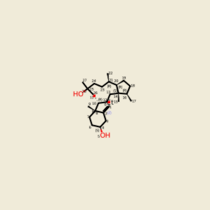 CC/C=C1/C[C@@H](O)CC[C@]1(C)[C@H](C)CC[C@@]1(C)[C@H](C)CC[C@@H]1[C@H](C)CCC(C)(C)O